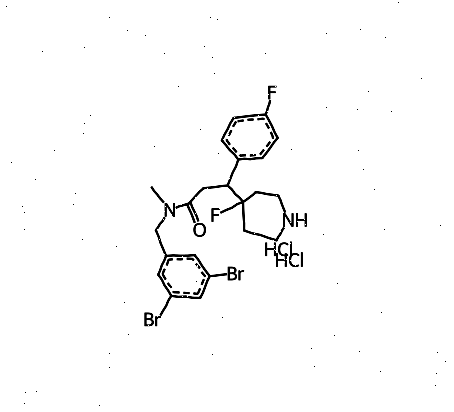 CN(Cc1cc(Br)cc(Br)c1)C(=O)CC(c1ccc(F)cc1)C1(F)CCNCC1.Cl.Cl